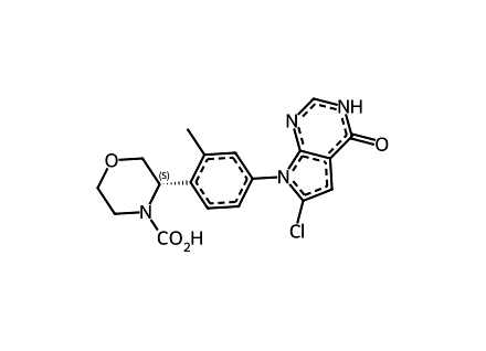 Cc1cc(-n2c(Cl)cc3c(=O)[nH]cnc32)ccc1[C@H]1COCCN1C(=O)O